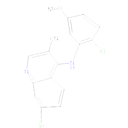 COc1ccc(Cl)c(Nc2c(C#N)cnc3cc(Br)ccc23)c1